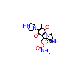 COC12C(COC(N)=O)C3=C(C(=O)C(C)=C(N4CCNCC4)C3=O)N1CC1NC12